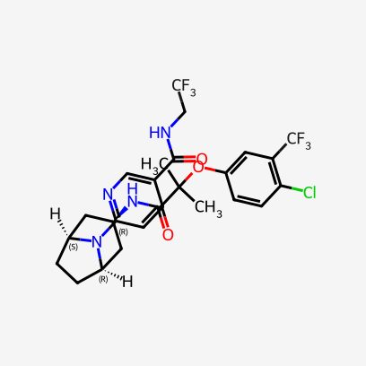 CC(C)(Oc1ccc(Cl)c(C(F)(F)F)c1)C(=O)N[C@H]1C[C@H]2CC[C@@H](C1)N2c1ccc(C(=O)NCC(F)(F)F)cn1